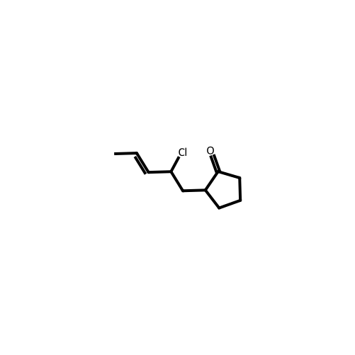 CC=CC(Cl)CC1CCCC1=O